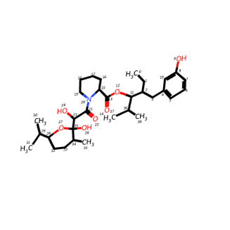 CCC(Cc1cccc(O)c1)C(OC(=O)C1CCCCN1C(=O)C(O)C1(O)OC(C(C)C)CCC1C)C(C)C